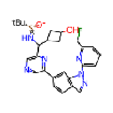 CC(C)(C)[S@@+]([O-])NC(c1cncc(-c2ccc3cnn(-c4cccc(CF)n4)c3c2)n1)C1CC(O)C1